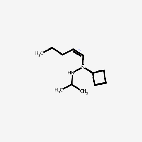 CCC/C=C\N(NC(C)C)C1CCC1